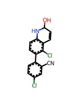 N#Cc1cc(Cl)ccc1-c1ccc2c(c1Cl)C=CC(O)N2